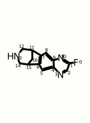 Fc1cnc2cc3c(cc2n1)C1CNCC3C1